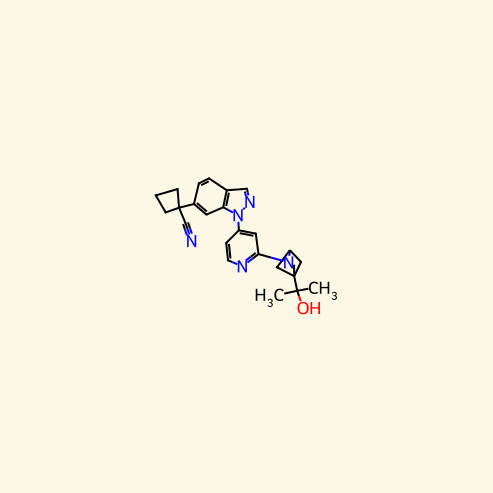 CC(C)(O)C12CC(C1)N(c1cc(-n3ncc4ccc(C5(C#N)CCC5)cc43)ccn1)C2